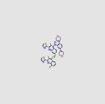 Cc1c(-c2nccs2)nc2c(F)cccc2c1Cl.Cc1c(-c2nccs2)nc2cc(F)ccc2c1Nc1cc(N2CCOCC2)ccc1N1CCOCC1